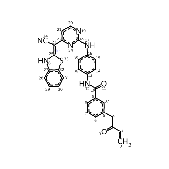 C=CC(=O)Cc1cccc(C(=O)Nc2ccc(Nc3nccc(/C(C#N)=C4/Nc5ccccc5S4)n3)cc2)c1